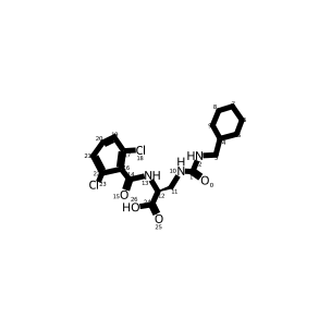 O=C(NCC1CCCCC1)NC[C@H](NC(=O)c1c(Cl)cccc1Cl)C(=O)O